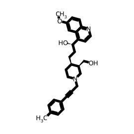 COc1ccc2nccc([C@@H](O)CC[C@@H]3CCN(CC#Cc4ccc(C)cc4)C[C@@H]3CO)c2c1